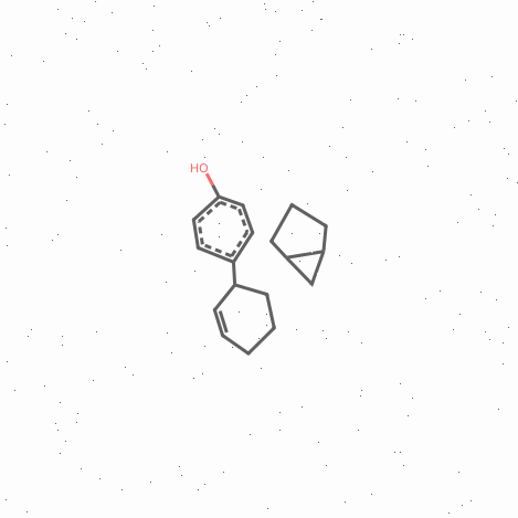 C1CC2CC2C1.Oc1ccc(C2C=CCCC2)cc1